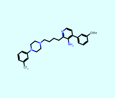 COc1cccc(-c2ccnc(CCCCN3CCN(c4cccc(C(F)(F)F)c4)CC3)c2N)c1